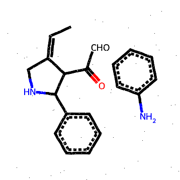 CC=C1CNC(c2ccccc2)C1C(=O)C=O.Nc1ccccc1